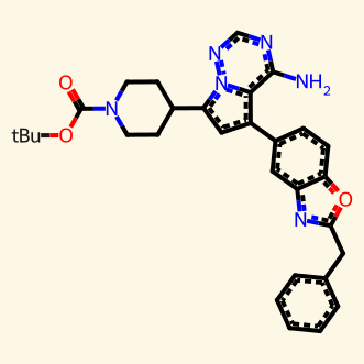 CC(C)(C)OC(=O)N1CCC(c2cc(-c3ccc4oc(Cc5ccccc5)nc4c3)c3c(N)ncnn23)CC1